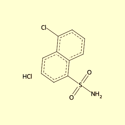 Cl.NS(=O)(=O)c1cccc2c(Cl)cccc12